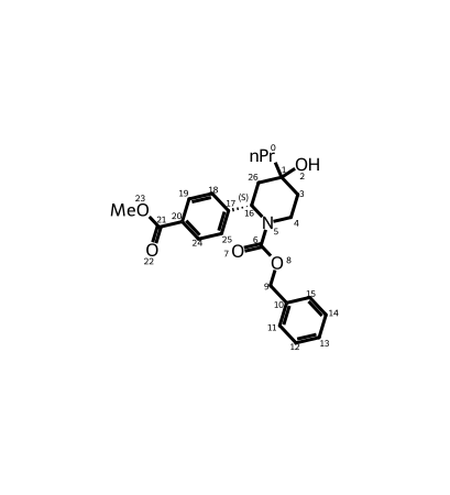 CCCC1(O)CCN(C(=O)OCc2ccccc2)[C@H](c2ccc(C(=O)OC)cc2)C1